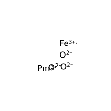 [Fe+3].[O-2].[O-2].[O-2].[Pm+3]